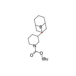 CC(C)(C)OC(=O)N1CCCC(CB2C3CCCC2CCC3)C1